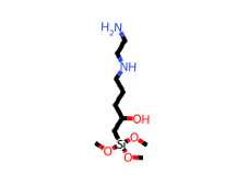 CO[Si](CC(O)CCCNCCN)(OC)OC